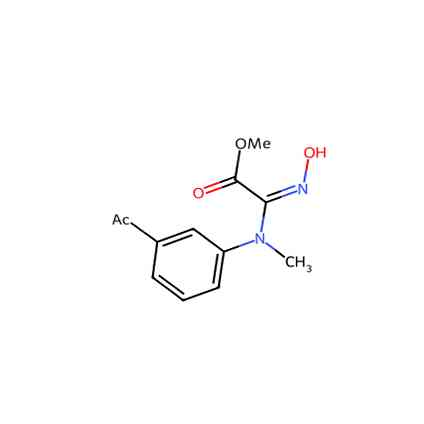 COC(=O)/C(=N\O)N(C)c1cccc(C(C)=O)c1